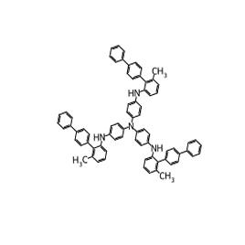 Cc1cccc(Nc2ccc(N(c3ccc(Nc4cccc(C)c4-c4ccc(-c5ccccc5)cc4)cc3)c3ccc(Nc4cccc(C)c4-c4ccc(-c5ccccc5)cc4)cc3)cc2)c1-c1ccc(-c2ccccc2)cc1